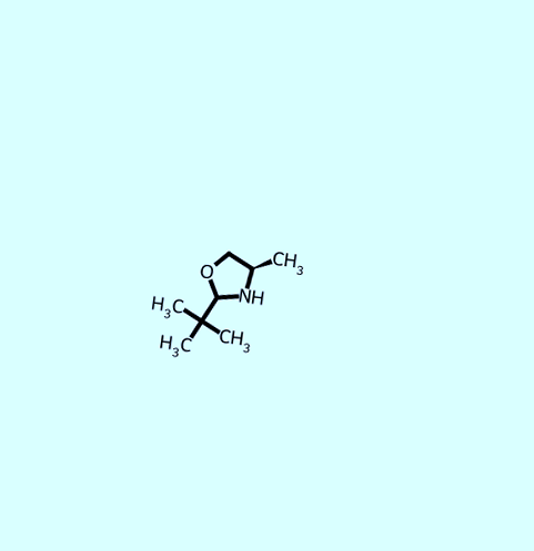 C[C@@H]1COC(C(C)(C)C)N1